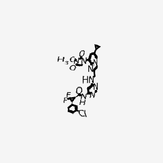 CN1C(=O)CN(c2cc(C3CC3)cn3cc(CNc4cc(NC(=O)[C@H]5[C@H](c6cccc(Cl)c6)C5(F)F)ncn4)nc23)C1=O